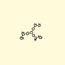 c1ccc(-c2cncc(-c3ccc(-c4cc(-c5ccc(-c6cncc(-c7ccccn7)c6)cc5)cc(-c5ccc(-c6cncc(-c7ccccn7)c6)cc5)c4)cc3)c2)nc1